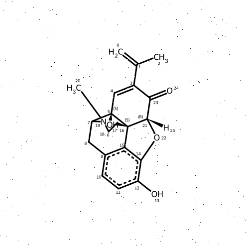 C=C(C)C1=C[C@@]2(O)C3Cc4ccc(O)c5c4[C@@]2(CCN3C)[C@@H](O5)C1=O